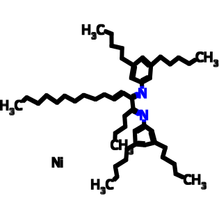 CCCCCCCCCC/C=C/C(=N\c1cc(CCCCC)cc(CCCCC)c1)C(/CCCC)=N/c1cc(CCCCC)cc(CCCCC)c1.[Ni]